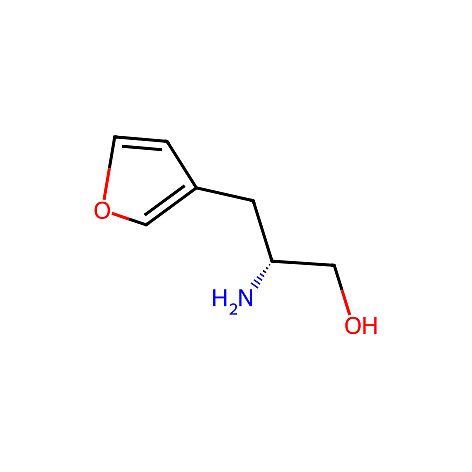 N[C@@H](CO)Cc1ccoc1